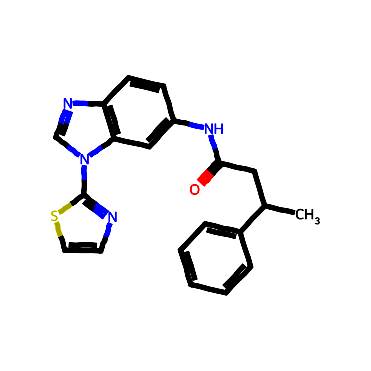 CC(CC(=O)Nc1ccc2ncn(-c3nccs3)c2c1)c1ccccc1